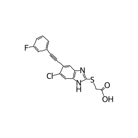 O=C(O)CSc1nc2cc(C#Cc3cccc(F)c3)c(Cl)cc2[nH]1